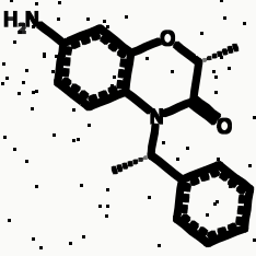 C[C@H]1Oc2cc(N)ccc2N([C@@H](C)c2ccccc2)C1=O